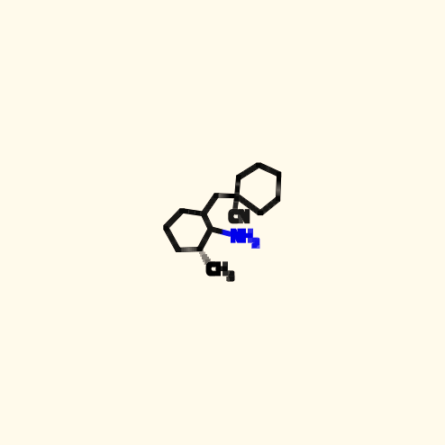 C[C@@H]1CCCC(CC2(C#N)CCCCC2)C1N